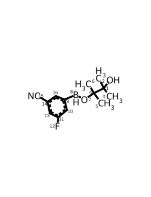 CC(C)(O)C(C)(C)OBc1cc(F)cc(C#N)c1